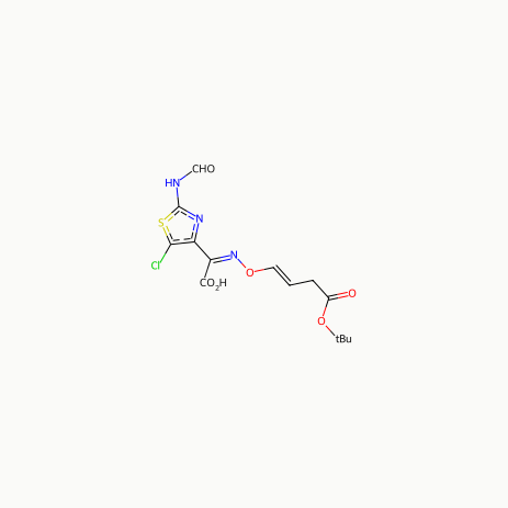 CC(C)(C)OC(=O)CC=CON=C(C(=O)O)c1nc(NC=O)sc1Cl